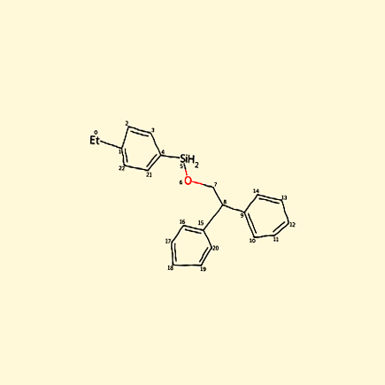 CCc1ccc([SiH2]OCC(c2ccccc2)c2ccccc2)cc1